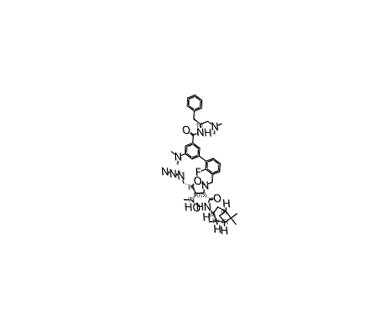 C[C@@H]1[C@@H](NC(=O)[C@@H]2[C@H]([C@H](C)O)[C@H](CN=[N+]=[N-])ON2Cc2cccc(-c3cc(C(=O)N[C@@H](Cc4ccccc4)CN(C)C)cc(N(C)C)c3)c2F)C[C@H]2C[C@@H]1C2(C)C